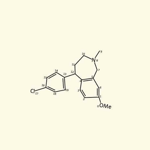 COc1ccc2c(c1)CN(C)CCC2c1ccc(Cl)cc1